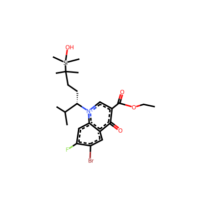 CCOC(=O)c1cn([C@@H](CCC(C)(C)[Si](C)(C)O)C(C)C)c2cc(F)c(Br)cc2c1=O